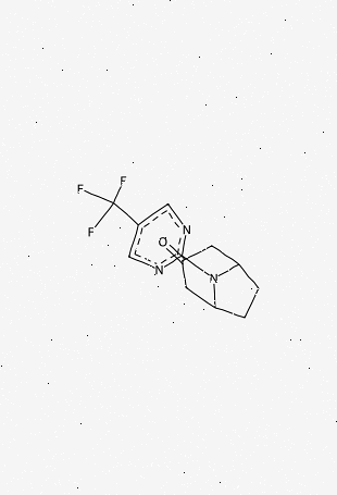 O=C1CC2CCC(C1)N2c1ncc(C(F)(F)F)cn1